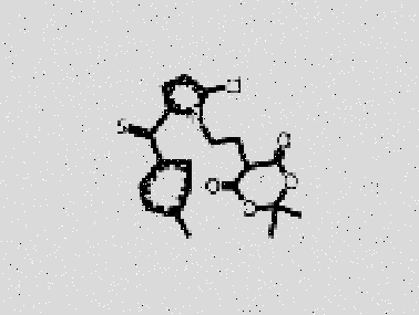 Cc1ccc(C(=S)c2ccc(Cl)n2CCC2C(=O)OC(C)(C)OC2=O)cc1